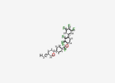 CC1CCC(c2ccc(C(F)(F)Oc3ccc(-c4cc(F)c(F)c(F)c4)c(F)c3F)cc2)OC1